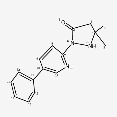 CC1(C)CC(=O)N(c2ccc(-c3ccccc3)cn2)N1